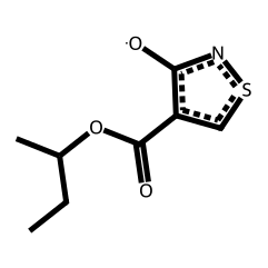 CCC(C)OC(=O)c1csnc1[O]